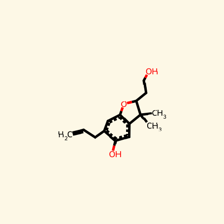 C=CCc1cc2c(cc1O)C(C)(C)C(CCO)O2